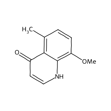 COc1ccc(C)c2c(=O)cc[nH]c12